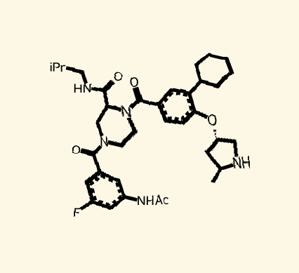 CC(=O)Nc1cc(F)cc(C(=O)N2CCN(C(=O)c3ccc(O[C@@H]4CNC(C)C4)c(C4CCCCC4)c3)C(C(=O)NCC(C)C)C2)c1